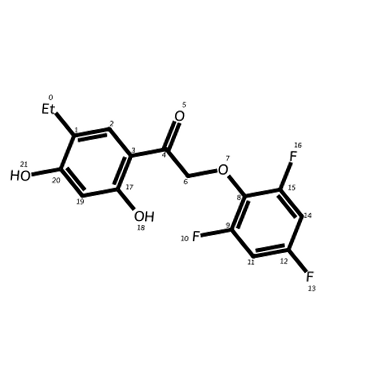 CCc1cc(C(=O)COc2c(F)cc(F)cc2F)c(O)cc1O